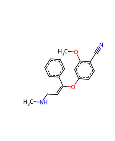 CNCC=C(Oc1ccc(C#N)c(OC)c1)c1ccccc1